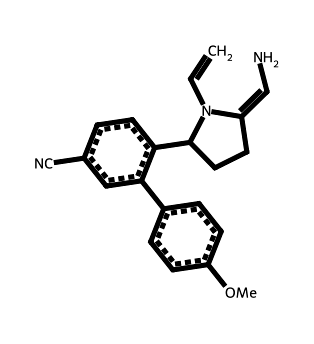 C=CN1/C(=C\N)CCC1c1ccc(C#N)cc1-c1ccc(OC)cc1